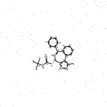 Cc1noc2c1-c1ccccc1C(c1ccccc1)=N[C@H]2CC(=O)OC(C)(C)C